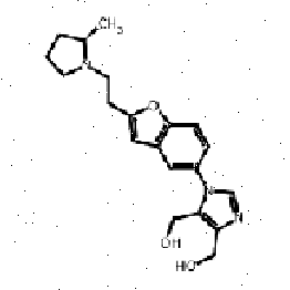 C[C@@H]1CCCN1CCc1cc2cc(-n3cnc(CO)c3CO)ccc2o1